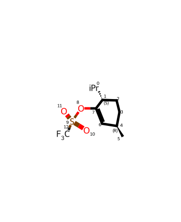 CC(C)[C@@H]1CC[C@@H](C)C=C1OS(=O)(=O)C(F)(F)F